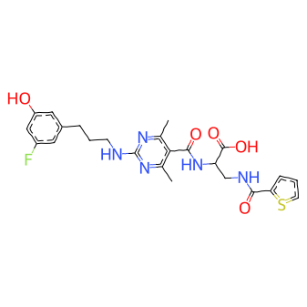 Cc1nc(NCCCc2cc(O)cc(F)c2)nc(C)c1C(=O)NC(CNC(=O)c1cccs1)C(=O)O